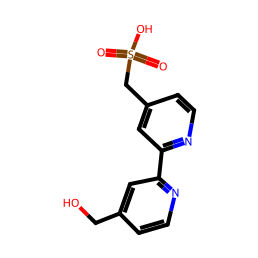 O=S(=O)(O)Cc1ccnc(-c2cc(CO)ccn2)c1